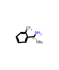 CCCC[C@@H](N)c1ccccc1C(F)(F)F